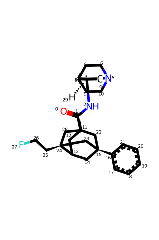 O=C(N[C@@H]1CN2CCC1CC2)C12CC3C[C@@](c4ccccc4)(C1)C[C@@]3(CCF)C2